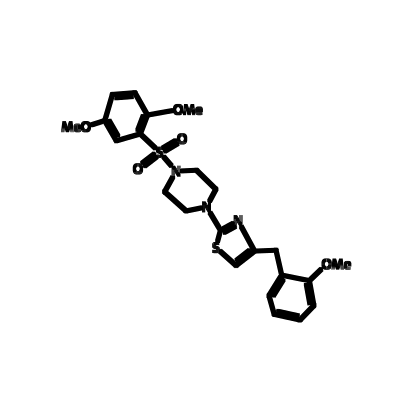 COc1ccc(OC)c(S(=O)(=O)N2CCN(c3nc(Cc4ccccc4OC)cs3)CC2)c1